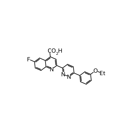 CCOc1cccc(-c2ccc(-c3cc(C(=O)O)c4cc(F)ccc4n3)nn2)c1